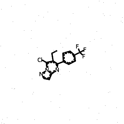 CCc1c(-c2ccc(C(F)(F)F)cc2)nc2ccnn2c1Cl